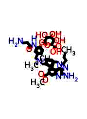 CCCCc1nc2c(N)nc3cc(C(=O)OC)ccc3c2n1Cc1ccc(C[N+](C)(C)Cc2ccc(O[C@@H]3O[C@H](C(=O)O)[C@@H](O)[C@H](O)[C@H]3O)c(NC(=O)CCN)c2)cc1